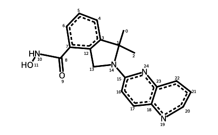 CC1(C)c2cccc(C(=O)NO)c2CN1c1ccc2ncccc2n1